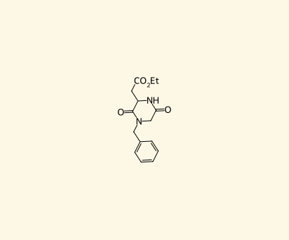 CCOC(=O)CC1NC(=O)CN(Cc2ccccc2)C1=O